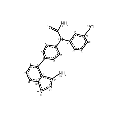 NC(=O)N(c1ccc(-c2cccc3[nH]nc(N)c23)cc1)c1cccc(Cl)c1